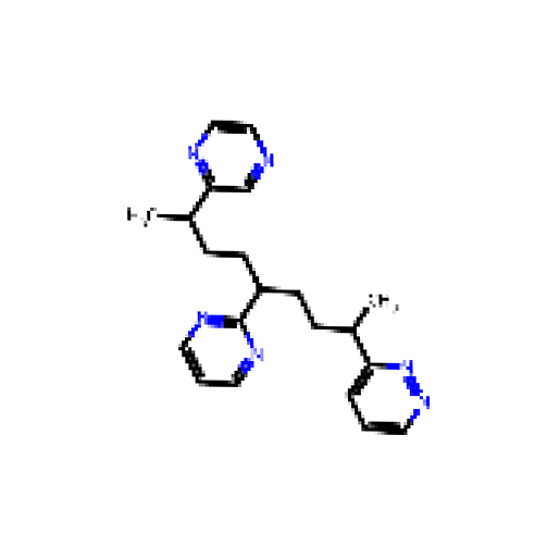 CC(CCC(CCC(C)c1cccnn1)c1ncccn1)c1cnccn1